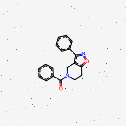 O=C(c1ccccc1)N1CCc2onc(-c3ccccc3)c2C1